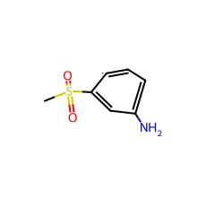 CS(=O)(=O)c1[c]ccc(N)c1